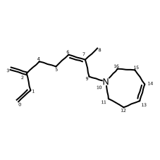 C=CC(=C)CC/C=C(/C)CN1CCC=CCC1